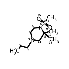 CCCN1CCN(S(C)(=O)=O)C(C)(C)C1